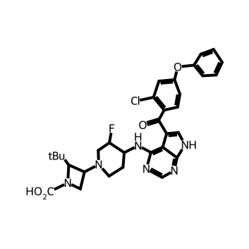 CC(C)(C)C1C(N2CCC(Nc3ncnc4[nH]cc(C(=O)c5ccc(Oc6ccccc6)cc5Cl)c34)C(F)C2)CN1C(=O)O